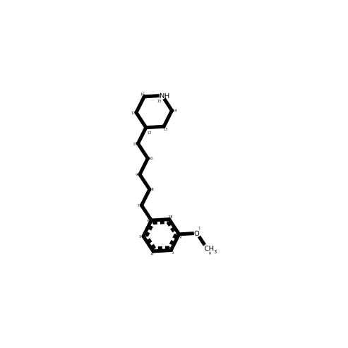 COc1cccc(CCCCCC2CCNCC2)c1